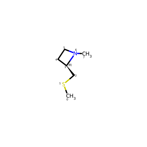 CSC[C@H]1CCN1C